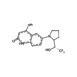 CCCc1cc(=O)[nH]c2ccc(N3CCCC3[C@@H](O)C(F)(F)F)cc12